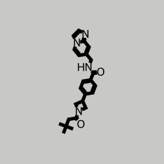 CC(C)(C)CC(=O)N1CC(c2ccc(C(=O)NCc3ccn4ccnc4c3)cc2)C1